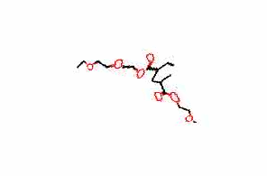 CCOCCOCCOC(=O)C(CC)CC(C)C(=O)OCCOC